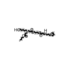 CCCCOC(=O)CCN(CCCCCO)CCC(=O)OCCCCOC(=O)CCNCCCN1CCCC1